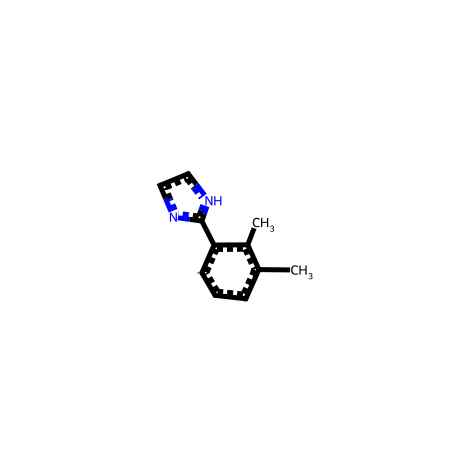 Cc1cc[c]c(-c2ncc[nH]2)c1C